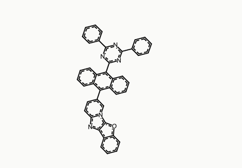 c1ccc(-c2nc(-c3ccccc3)nc(-c3c4ccccc4c(-c4ccc5nc6c7ccccc7oc6n5c4)c4ccccc34)n2)cc1